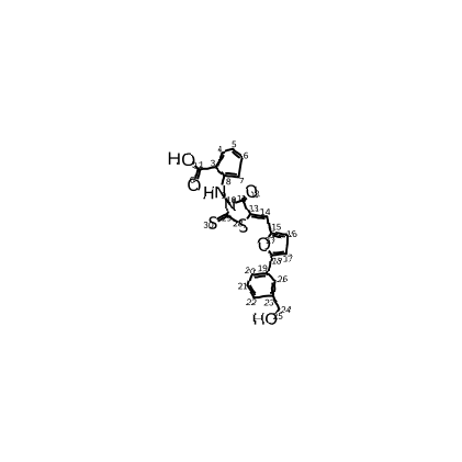 O=C(O)c1ccccc1NN1C(=O)C(=Cc2ccc(-c3cccc(CO)c3)o2)SC1=S